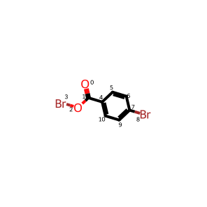 O=C(OBr)c1ccc(Br)cc1